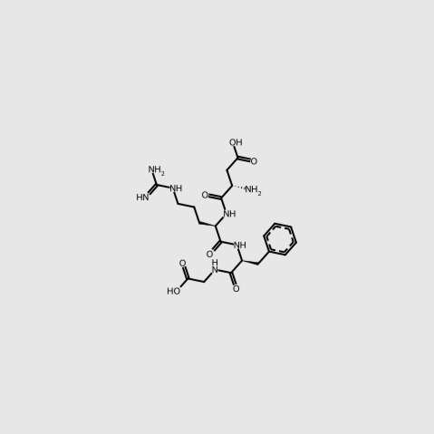 N=C(N)NCCC[C@@H](NC(=O)[C@@H](N)CC(=O)O)C(=O)N[C@@H](Cc1ccccc1)C(=O)NCC(=O)O